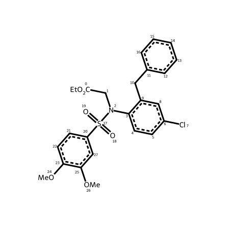 CCOC(=O)CN(c1ccc(Cl)cc1Cc1ccccc1)S(=O)(=O)c1ccc(OC)c(OC)c1